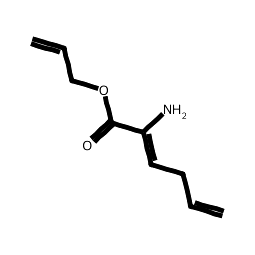 C=CCC=C(N)C(=O)OCC=C